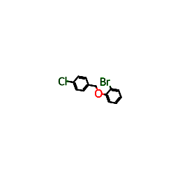 Clc1ccc(COc2ccccc2Br)cc1